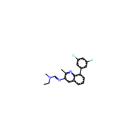 CCN(C)C=Nc1cc2cccc(-c3cc(F)cc(F)c3)c2nc1C